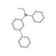 CCN(c1ccccc1)c1cccc(-c2ccccc2)c1